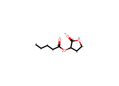 CCCCC(=O)OC1CCOC1=O